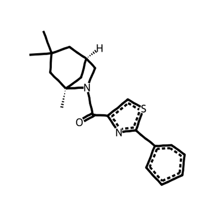 CC1(C)C[C@H]2CN(C(=O)c3csc(-c4ccccc4)n3)[C@](C)(C2)C1